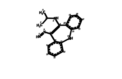 CC(C)NC1=C(N=N)c2ccccc2Nc2ccccc21